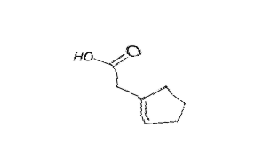 O=C(O)CC1=CCCC1